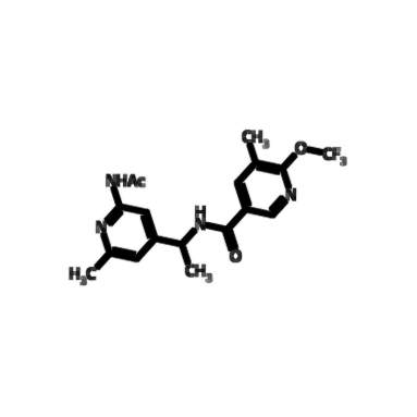 CC(=O)Nc1cc(C(C)NC(=O)c2cnc(OC(F)(F)F)c(C)c2)cc(C)n1